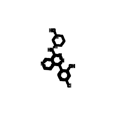 Oc1cc(Cl)ccc1-c1nnc(N[C@H]2CCC[C@H](O)C2)c2cnccc12